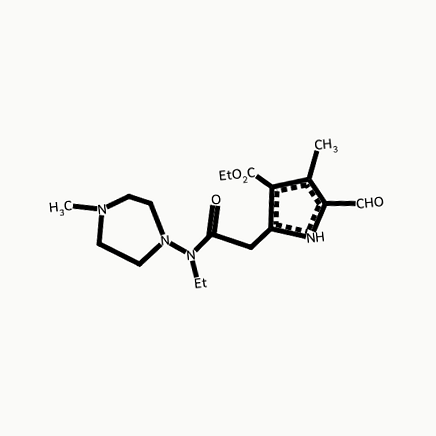 CCOC(=O)c1c(CC(=O)N(CC)N2CCN(C)CC2)[nH]c(C=O)c1C